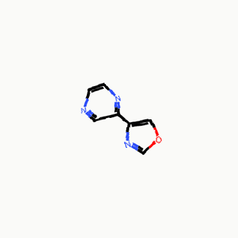 c1cnc(-c2cocn2)cn1